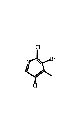 Cc1c(Cl)cnc(Cl)c1Br